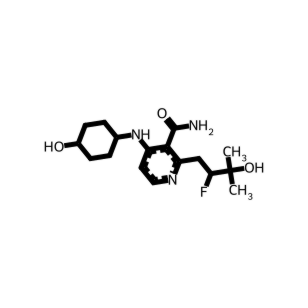 CC(C)(O)C(F)Cc1nccc(NC2CCC(O)CC2)c1C(N)=O